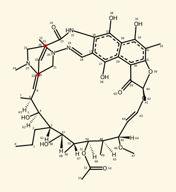 CCC[C@@H]1[C@@H](O)[C@@H](C)/C=C/C=C(/C)C(=O)Nc2c(/C=N/N3CCN(C)CC3)c(O)c3c4c(c(C)c(O)c3c2O)O[C@](C)(O/C=C/[C@H](OC)[C@@H](C)[C@@H](OC(C)=O)[C@H](C)[C@@H]1O)C4=O